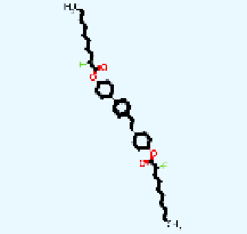 CCCCCCCC[C@H](F)C(=O)O[C@H]1CC[C@H](CCc2ccc([C@H]3CC[C@H](OC(=O)[C@@H](F)CCCCCCCC)CC3)cc2)CC1